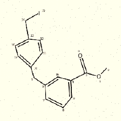 COC(=O)c1cccc(Cc2ccc(CI)cc2)c1